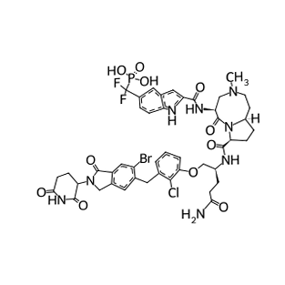 CN1CC[C@H]2CC[C@@H](C(=O)N[C@@H](CCC(N)=O)COc3cccc(Cc4cc5c(cc4Br)C(=O)N(C4CCC(=O)NC4=O)C5)c3Cl)N2C(=O)[C@@H](NC(=O)c2cc3cc(C(F)(F)P(=O)(O)O)ccc3[nH]2)C1